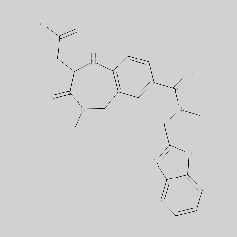 CN(Cc1nc2ccccc2o1)C(=O)c1ccc2c(c1)CN(C)C(=O)C(CC(=O)O)N2